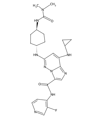 CN(C)C(=O)N[C@H]1CC[C@H](Nc2cc(NC3CC3)c3ncc(C(=O)Nc4ccncc4F)n3n2)CC1